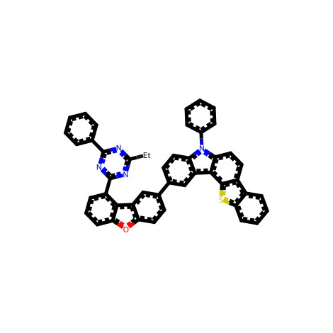 CCc1nc(-c2ccccc2)nc(-c2cccc3oc4ccc(-c5ccc6c(c5)c5c7sc8ccccc8c7ccc5n6-c5ccccc5)cc4c23)n1